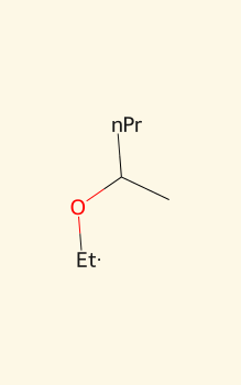 C[CH]OC(C)CCC